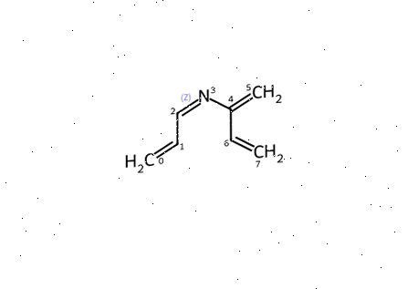 C=C/C=N\C(=C)C=C